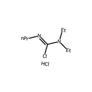 CCCN=C(Cl)N(CC)CC.Cl